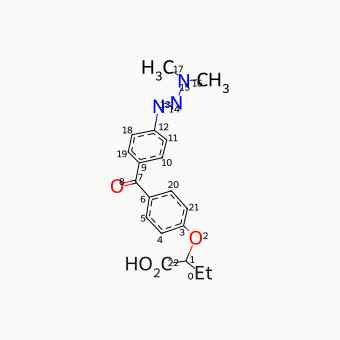 CCC(Oc1ccc(C(=O)c2ccc(N=NN(C)C)cc2)cc1)C(=O)O